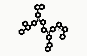 c1ccc(-c2ccc(-c3ccc(N(c4ccc(-c5cccc6ccccc56)cc4)c4cccc(-c5cccc(N(c6ccc(-c7ccc8ccccc8c7)cc6)c6ccc(-c7cccc8c7oc7c(-c9ccccc9)cccc78)cc6)c5)c4)cc3)c3ccccc23)cc1